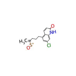 C[C@H](CCCc1cc(Cl)cc2[nH]c(=O)ccc12)[S+]=O